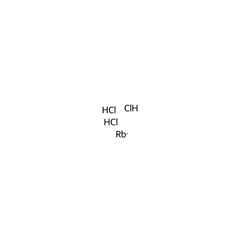 Cl.Cl.Cl.[Rb]